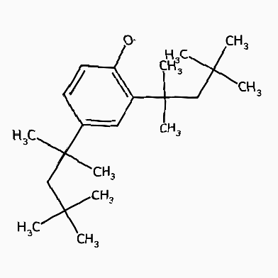 CC(C)(C)CC(C)(C)c1ccc([O])c(C(C)(C)CC(C)(C)C)c1